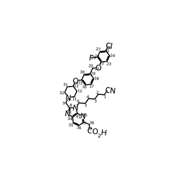 N#CCCCCCCn1c(CN2CCC(Oc3cccc(COc4ccc(Cl)cc4F)c3)CC2)nc2ccc(CC(=O)O)nc21